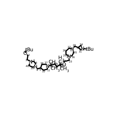 CC(C)(C)OCCN1CCN(CC2CCN(C(C)(C)CCC(C)(C)OCCN3CCCN(CC4CN(C(C)(C)C)C4)CC3)CC2)CC1